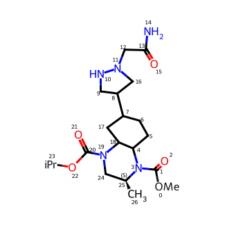 COC(=O)N1C2CCC(C3CNN(CC(N)=O)C3)CC2N(C(=O)OC(C)C)C[C@@H]1C